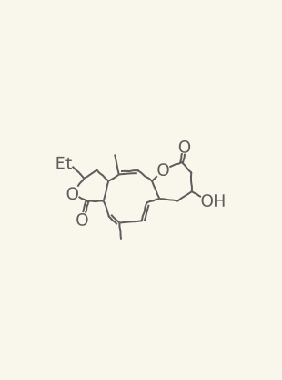 CCC1CC2/C(C)=C\C3OC(=O)CC(O)CC3/C=C/C(C)=C\C2C(=O)O1